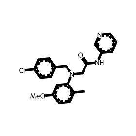 COc1ccc(C)c(N(CC(=O)Nc2cccnc2)Cc2ccc(Cl)cc2)c1